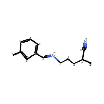 Cc1cccc(/C=N/CCCC(C)C#N)c1